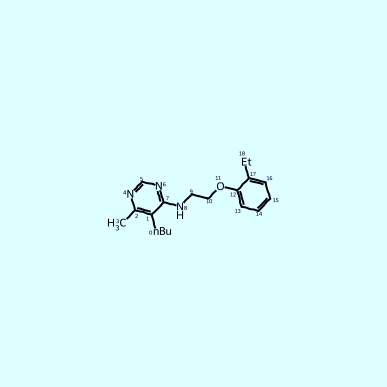 CCCCc1c(C)ncnc1NCCOc1ccccc1CC